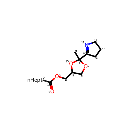 CCCCCCCC(=O)OCC1COC(C)(C2=NCCC2)O1